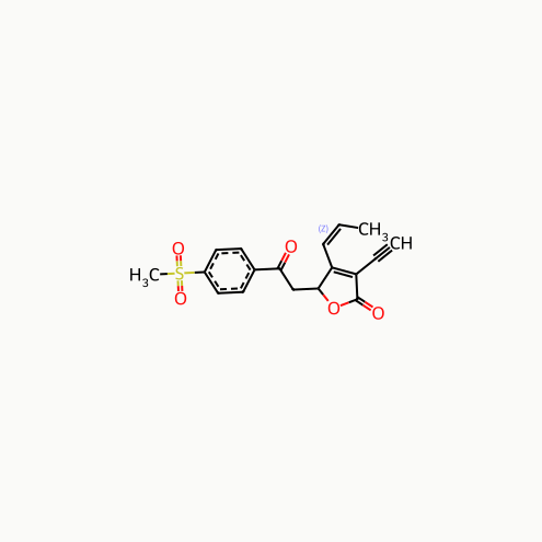 C#CC1=C(/C=C\C)C(CC(=O)c2ccc(S(C)(=O)=O)cc2)OC1=O